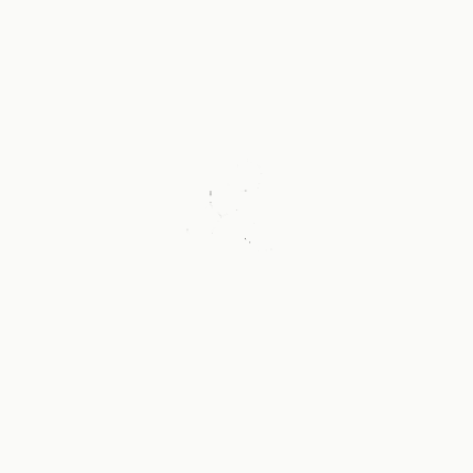 [CH2]OCCC(=O)NCc1c2ccccc2cc2ccccc12